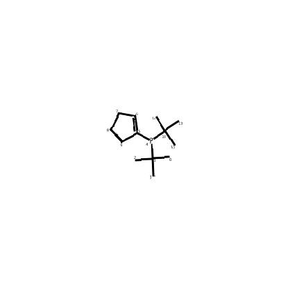 CC(C)(C)P(C1=CCCC1)C(C)(C)C